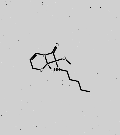 CCCCCN[C@]1(OC)C(=O)N2C=CCS[C@H]21